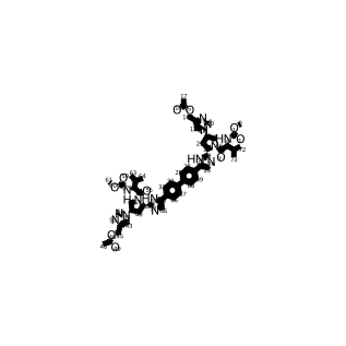 COC(=O)N[C@H](C(=O)N1C[C@@H](n2cc(COC(C)=O)nn2)C[C@H]1c1ncc(-c2ccc(-c3ccc(-c4cnc([C@@H]5C[C@H](n6cc(COC(C)=O)nn6)CN5C(=O)[C@@H](NC(=O)OC)C(C)C)[nH]4)cc3)cc2)[nH]1)C(C)C